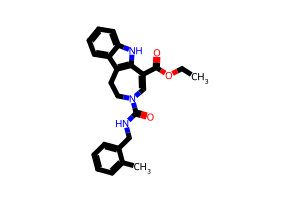 CCOC(=O)C1=CN(C(=O)NCc2ccccc2C)CCc2c1[nH]c1ccccc21